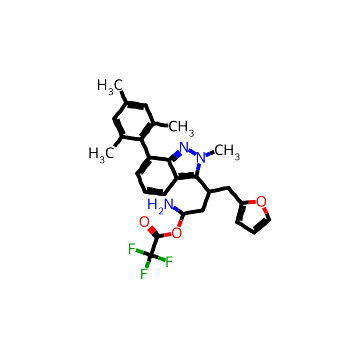 Cc1cc(C)c(-c2cccc3c(C(Cc4ccco4)CC(N)OC(=O)C(F)(F)F)n(C)nc23)c(C)c1